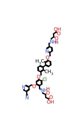 Cc1c(COc2cc(OCc3cncc(C#N)c3)c(CNCC(O)CC(=O)O)cc2Cl)cccc1-c1cccc(OCc2ccc(CNCC(O)CC(=O)O)cn2)c1C